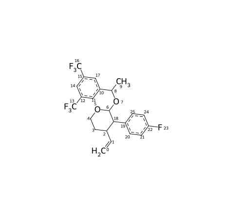 C=CC1CCOC(OC(C)c2cc(C(F)(F)F)cc(C(F)(F)F)c2)C1c1ccc(F)cc1